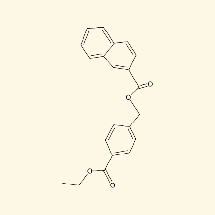 CCOC(=O)c1ccc(COC(=O)c2ccc3ccccc3c2)cc1